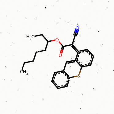 CCCCCC(CC)OC(=O)C(C#N)=c1cccc2c1=Cc1ccccc1S2